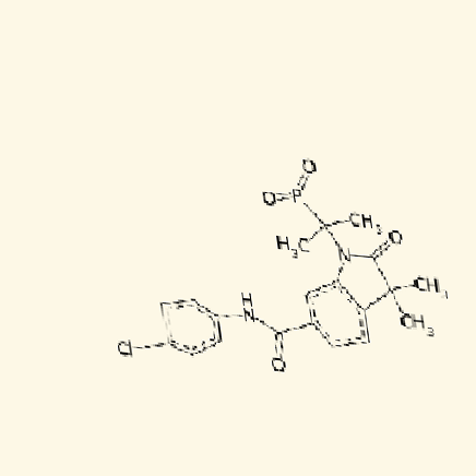 CC1(C)C(=O)N(C(C)(C)P(=O)=O)c2cc(C(=O)Nc3ccc(Cl)cc3)ccc21